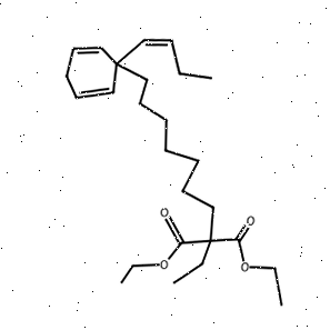 CC/C=C\C1(CCCCCCCC(CC)(C(=O)OCC)C(=O)OCC)C=CCC=C1